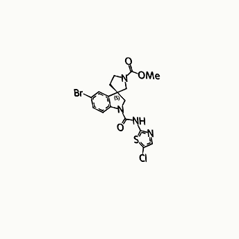 COC(=O)N1CC[C@@]2(C1)CN(C(=O)Nc1ncc(Cl)s1)c1ccc(Br)cc12